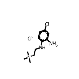 C[N+](C)(C)CCNc1ccc(Cl)cc1N.[Cl-]